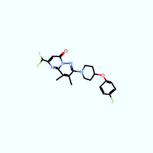 Cc1c(N2CCC(Oc3ccc(F)cc3)CC2)nn2c(=O)cc(C(F)F)nc2c1C